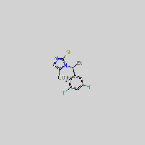 CCC(c1cc(F)cc(F)c1)n1c(C(=O)O)cnc1S